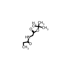 CCC(=O)NCC(=O)OC(C)(C)C